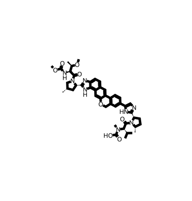 COC(=O)N[C@H](C(=O)N1C[C@@H](C)C[C@H]1c1nc2ccc3cc4c(cc3c2[nH]1)OCc1cc(-c2cnc([C@@H]3CC[C@H](C)N3C(=O)[C@H](C(C)C)N(C)C(=O)O)[nH]2)ccc1-4)[C@@H](C)OC